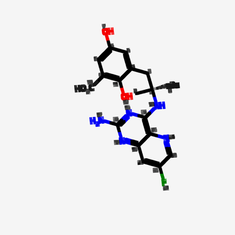 CCCC[C@](C)(Cc1cc(O)cc(C(=O)O)c1O)Nc1nc(N)nc2cc(F)cnc12